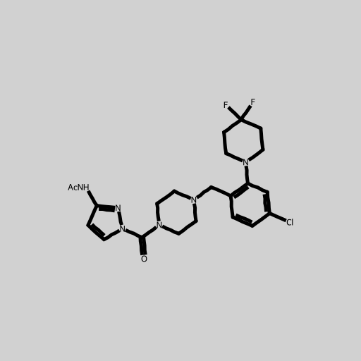 CC(=O)Nc1ccn(C(=O)N2CCN(Cc3ccc(Cl)cc3N3CCC(F)(F)CC3)CC2)n1